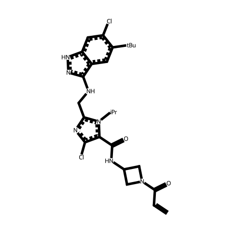 C=CC(=O)N1CC(NC(=O)c2c(Cl)nc(CNc3n[nH]c4cc(Cl)c(C(C)(C)C)cc34)n2C(C)C)C1